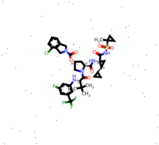 CC(C)(C)[C@H](Nc1cc(F)cc(C(F)(F)F)c1)C(=O)N1C[C@H](OC(=O)N2Cc3cccc(Cl)c3C2)C[C@H]1C(=O)N[C@]1(C(=O)NS(=O)(=O)C2(C)CC2)C[C@H]1C1CC1